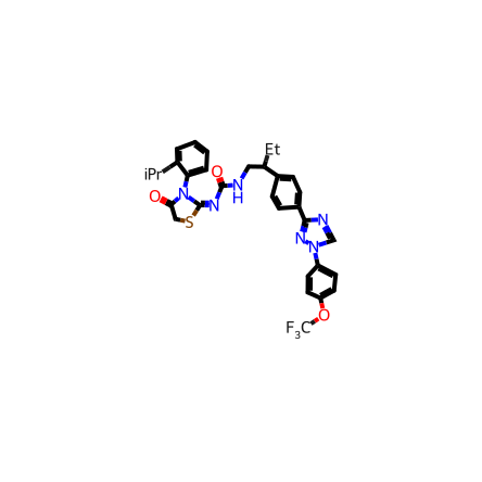 CCC(CNC(=O)/N=C1/SCC(=O)N1c1ccccc1C(C)C)c1ccc(-c2ncn(-c3ccc(OC(F)(F)F)cc3)n2)cc1